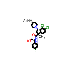 CC(=O)NC1CCN(CCC(C)(C(=O)N[C@H](CO)c2ccc(F)cc2)c2ccc(Cl)c(Cl)c2)CC1